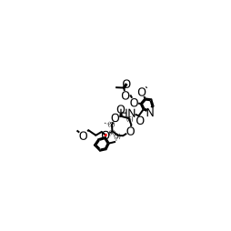 COCCCO[C@@H]1[C@@H](Cc2ccccc2)COC[C@H](NC(=O)c2nccc(OC)c2OCOC(C)=O)C(=O)O[C@H]1C